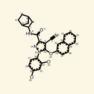 N#Cc1c(C(=O)NC2CC3CCC2C3)nn(-c2ccc(Cl)cc2Cl)c1Oc1ccc2ccccc2c1